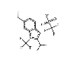 CCc1ccc2cc(C(C)C)[s+](C(F)(F)F)c2c1.O=S(=O)([O-])C(F)(F)F